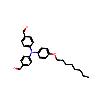 CCCCCCCCOc1ccc(N(c2ccc(C=O)cc2)c2ccc(C=O)cc2)cc1